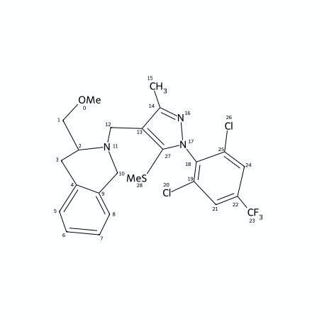 COCC1Cc2ccccc2CN1Cc1c(C)nn(-c2c(Cl)cc(C(F)(F)F)cc2Cl)c1SC